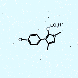 Cc1cn(C)c(OC(=O)O)c1-c1ccc(Cl)cc1